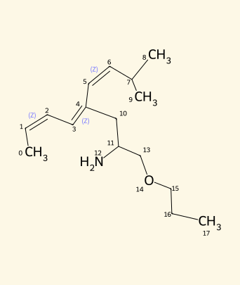 C\C=C/C=C(\C=C/C(C)C)CC(N)COCCC